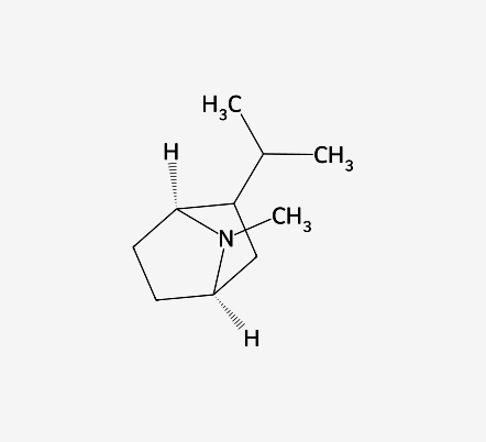 CC(C)C1C[C@H]2CC[C@@H]1N2C